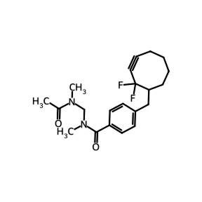 CC(=O)N(C)CN(C)C(=O)c1ccc(CC2CCCCC#CC2(F)F)cc1